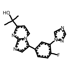 CC(C)(O)c1ccn2c(-c3ccc(F)c(-n4cncn4)c3)cnc2n1